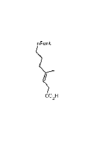 CCCCCCCC/C(C)=C/CC(=O)O